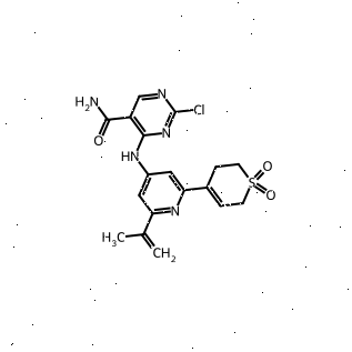 C=C(C)c1cc(Nc2nc(Cl)ncc2C(N)=O)cc(C2=CCS(=O)(=O)CC2)n1